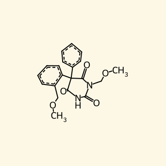 COCc1ccccc1C1(c2ccccc2)C(=O)NC(=O)N(COC)C1=O